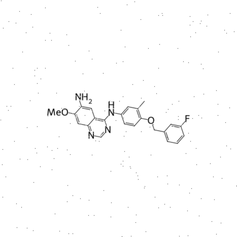 COc1cc2ncnc(Nc3ccc(OCc4cccc(F)c4)c(C)c3)c2cc1N